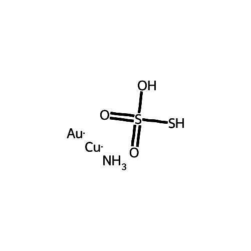 N.O=S(=O)(O)S.[Au].[Cu]